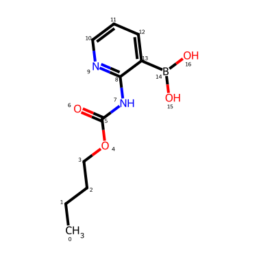 CCCCOC(=O)Nc1ncccc1B(O)O